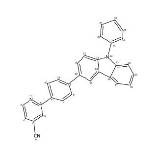 N#Cc1ccnc(-c2ccc(-c3ccc4c(c3)c3ccccc3n4-c3ccccc3)cc2)c1